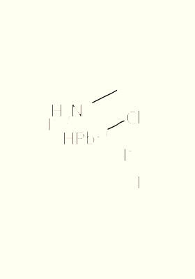 C[NH3+].[Cl][PbH+2].[I-].[I-].[I-]